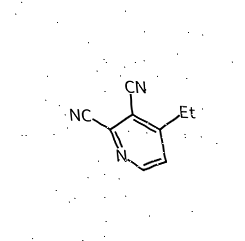 CCc1ccnc(C#N)c1C#N